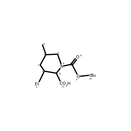 CCC1CC(C)CN(C(=O)OC(C)(C)C)C1C(=O)O